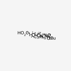 Cc1cc(/C=C/C(=O)O)ccc1-c1ccc(N2CCN(C(=O)OC(C)(C)C)CC2)cc1